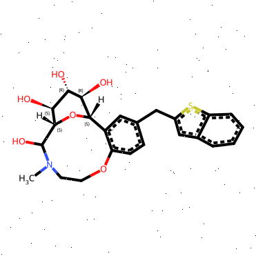 CN1CCOc2ccc(Cc3cc4ccccc4s3)cc2[C@@H]2O[C@H](C1O)[C@@H](O)[C@H](O)[C@H]2O